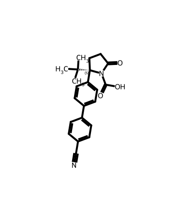 CC(C)(C)[C@]1(c2ccc(-c3ccc(C#N)cc3)cc2)CCC(=O)N1C(=O)O